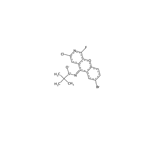 CC(C)(C)[S+]([O-])/N=c1/c2cc(Br)ccc2oc2c(F)nc(Cl)cc12